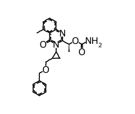 Cc1cccc2nc([C@H](C)OC(N)=O)n(C3CC3COCc3ccccc3)c(=O)c12